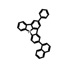 c1ccc(-c2cc3c4ccccc4n4c5ccc(-c6cccc7ccccc67)cc5c(c2)c34)cc1